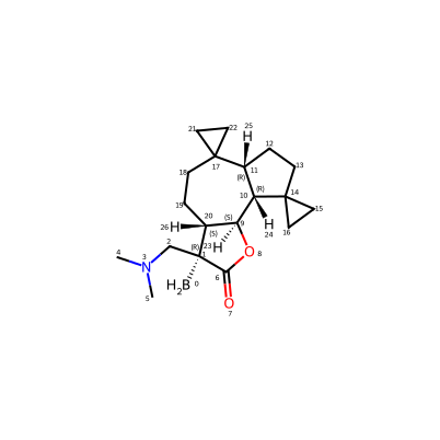 B[C@@]1(CN(C)C)C(=O)O[C@@H]2[C@@H]3[C@@H](CCC34CC4)C3(CC[C@H]21)CC3